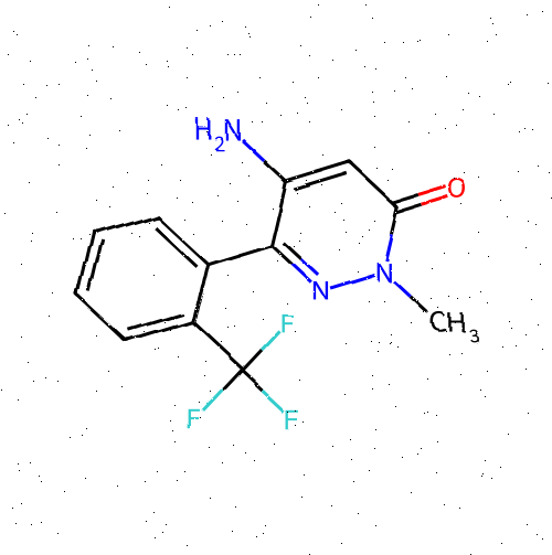 Cn1nc(-c2ccccc2C(F)(F)F)c(N)cc1=O